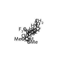 C=CC(=O)Nc1cccc(C)c1Nc1cc2c(NCC(F)(F)F)nc(-c3c(Cl)c(OC)cc(OC)c3CC)cc2cn1